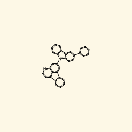 c1ccc(-c2ccc3c(c2)c2ccccc2n3-c2cc3c4c(ccnc4c2)-c2ccccc2-3)cc1